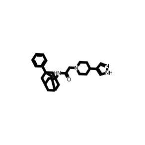 O=C(CN1CCC(c2cn[nH]c2)CC1)NC12CC3CC(C1)CC(c1ccccc1)(C3)C2